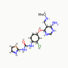 CON=Cc1c(N)ncnc1Oc1ccc(NC(=O)Nc2nccs2)c(Cl)c1